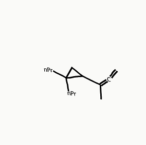 C=C=C(C)C1CC1(CCC)CCC